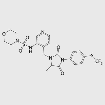 CC1C(=O)N(c2ccc(SC(F)(F)F)cc2)C(=O)N1Cc1ccncc1NS(=O)(=O)N1CCOCC1